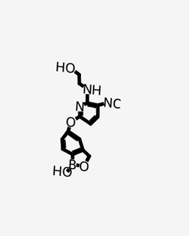 [C-]#[N+]c1ccc(Oc2ccc3c(c2)COB3O)nc1NCCO